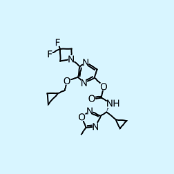 Cc1nc([C@H](NC(=O)Oc2cnc(N3CC(F)(F)C3)c(OCC3CC3)n2)C2CC2)no1